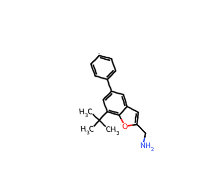 CC(C)(C)c1cc(-c2cc[c]cc2)cc2cc(CN)oc12